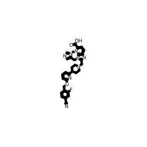 Cn1cncc1Cn1c(CN2CCC(c3cccc(OCc4ccc(C#N)cc4F)n3)CC2)nc2ccc(C(=O)O)nc21